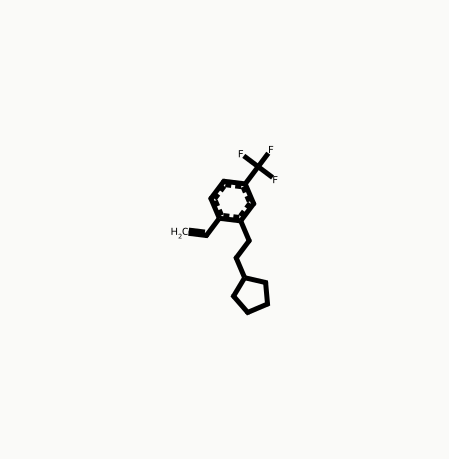 C=Cc1ccc(C(F)(F)F)cc1CCC1CCCC1